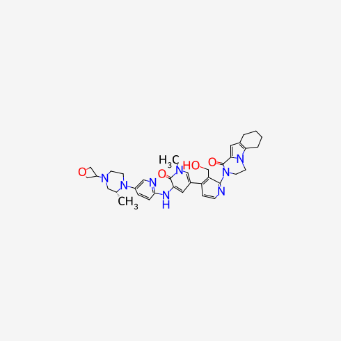 C[C@@H]1CN(C2COC2)CCN1c1ccc(Nc2cc(-c3ccnc(N4CCn5c(cc6c5CCCC6)C4=O)c3CO)cn(C)c2=O)nc1